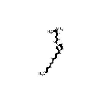 CCCCCCCCCCn1cc[n+](CCCCC(C)C)c1